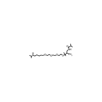 CC(C)NCCCCCOCCOCCOCCOC(C)(C)C(P)CNC(=O)C(C)C